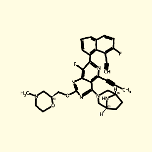 C#Cc1c(F)ccc2cccc(-c3nc(C#CC)c4c(N5C[C@H]6CC[C@@H](C5)N6)nc(OC[C@@H]5CN(C)CCO5)nc4c3F)c12